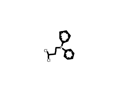 ClC(Cl)CCP(c1ccccc1)c1ccccc1